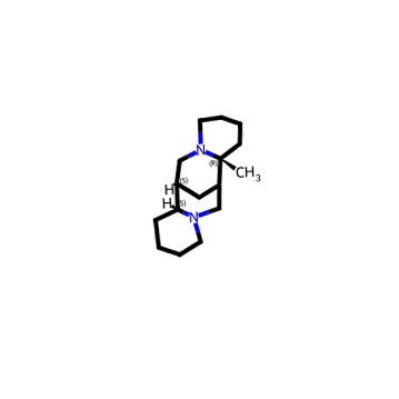 C[C@]12CCCCN1C[C@@H]1CC2CN2CCCC[C@@H]12